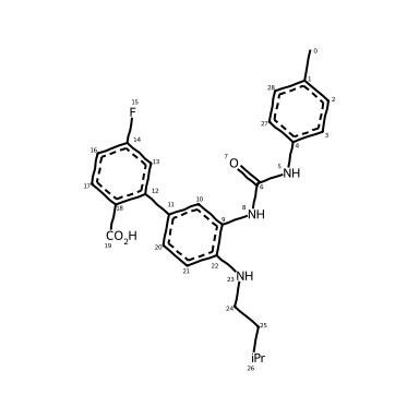 Cc1ccc(NC(=O)Nc2cc(-c3cc(F)ccc3C(=O)O)ccc2NCCC(C)C)cc1